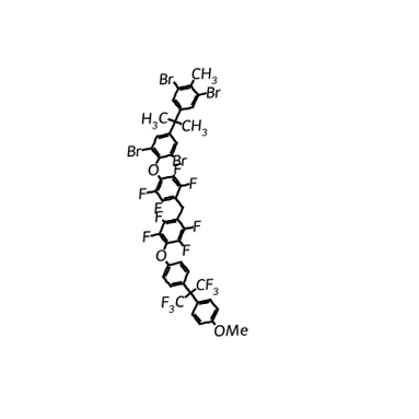 COc1ccc(C(c2ccc(Oc3c(F)c(F)c(Cc4c(F)c(F)c(Oc5c(Br)cc(C(C)(C)c6cc(Br)c(C)c(Br)c6)cc5Br)c(F)c4F)c(F)c3F)cc2)(C(F)(F)F)C(F)(F)F)cc1